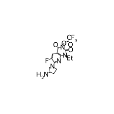 CCn1c(=O)n(OC(=O)C(F)(F)F)c(=O)c2cc(F)c(N3CCC(N)C3)nc21